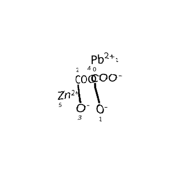 O=C([O-])[O-].O=C([O-])[O-].[Pb+2].[Zn+2]